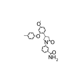 COc1ccc(C2CC(=O)N(c3cccc(C(N)=O)c3)C2)c(Oc2ccc(C)cc2)c1